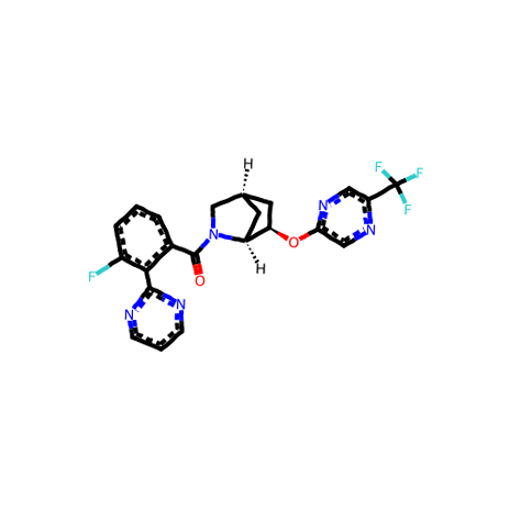 O=C(c1cccc(F)c1-c1ncccn1)N1C[C@H]2C[C@@H](Oc3cnc(C(F)(F)F)cn3)[C@@H]1C2